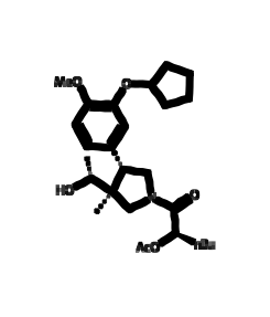 CCCC[C@@H](OC(C)=O)C(=O)N1C[C@@H](c2ccc(OC)c(OC3CCCC3)c2)[C@](C)([C@@H](C)O)C1